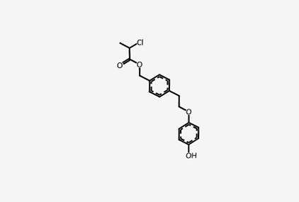 CC(Cl)C(=O)OCc1ccc(CCOc2ccc(O)cc2)cc1